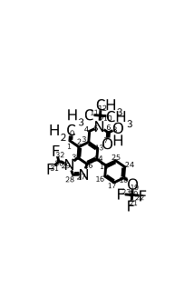 C=Cc1c(CN(C(=O)O)C(C)(C)C)cc(-c2ccc(OC(F)(F)F)cc2)c2ncn(C(F)F)c12